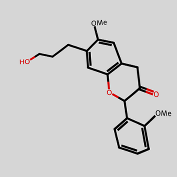 COc1cc2c(cc1CCCO)OC(c1ccccc1OC)C(=O)C2